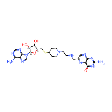 Nc1nc2ncc(CNCCN3CCC(SC[C@H]4O[C@@H](n5cnc6c(N)ncnc65)[C@@H](O)C4O)CC3)nc2c(=O)[nH]1